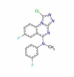 CN(c1cccc(F)c1)c1nc2nnc(Cl)n2c2ccc(F)cc12